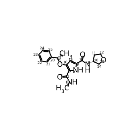 CNC(=O)c1[nH]c(C(=O)N[C@@H]2CCOC2)cc1O[C@@H](C)c1ccccc1